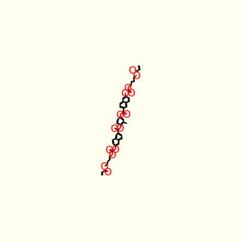 C=CC(=O)OCCCCOC(=O)Oc1ccc2cc(C(=O)Oc3ccc(OC(=O)c4ccc5cc(OC(=O)OCCCCOC(=O)C=C)ccc5c4)c(C)c3)ccc2c1